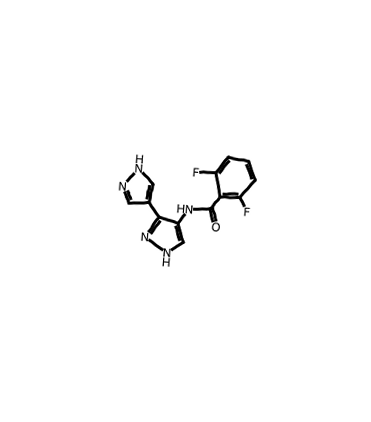 O=C(Nc1c[nH]nc1-c1cn[nH]c1)c1c(F)cccc1F